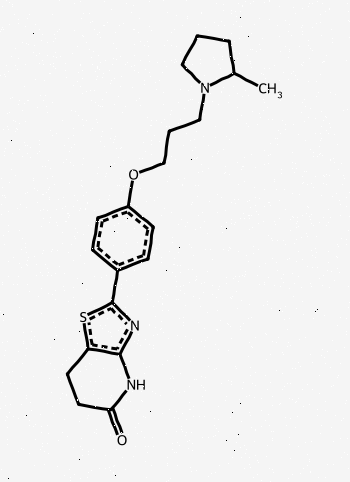 CC1CCCN1CCCOc1ccc(-c2nc3c(s2)CCC(=O)N3)cc1